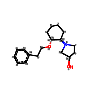 O[C@@H]1CCN([C@@H]2CCCC[C@H]2OCCc2ccccc2)C1